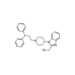 [18F]Cc1nc2ccccc2n1C1CCN(CCC(c2ccccc2)c2ccccc2)CC1